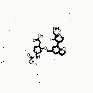 CC(=O)Nc1ccc(CC(=O)O)c(OCc2cc(-c3ccnc(CN)c3F)c3occc3c2)c1